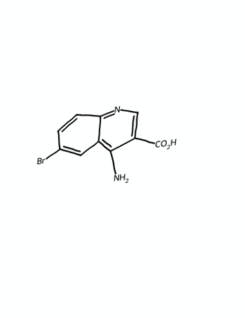 Nc1c(C(=O)O)cnc2ccc(Br)cc12